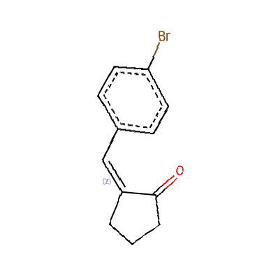 O=C1CCC/C1=C/c1ccc(Br)cc1